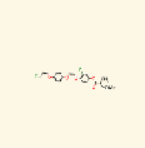 C=C(COC)C(=O)Oc1ccc(O/C=C\Oc2ccc(O/C=C\CF)cc2)c(F)c1